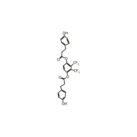 O=C(CCc1ccc(O)cc1)Oc1ccc(OC(=O)CCc2ccc(O)cc2)c(C(F)(F)F)c1C(F)(F)F